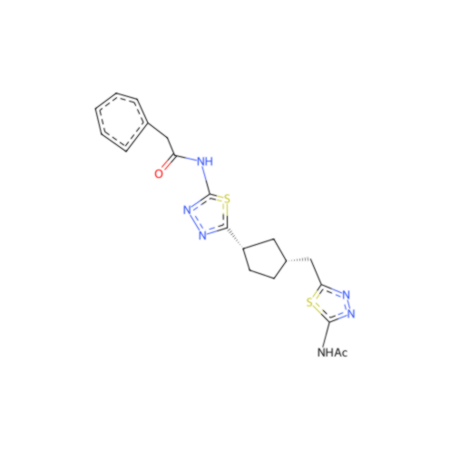 CC(=O)Nc1nnc(C[C@@H]2CC[C@H](c3nnc(NC(=O)Cc4ccccc4)s3)C2)s1